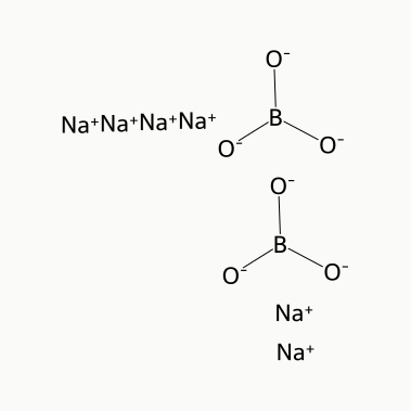 [Na+].[Na+].[Na+].[Na+].[Na+].[Na+].[O-]B([O-])[O-].[O-]B([O-])[O-]